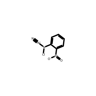 N#[N+]N(Cl)c1ccccc1[N+](=O)[O-]